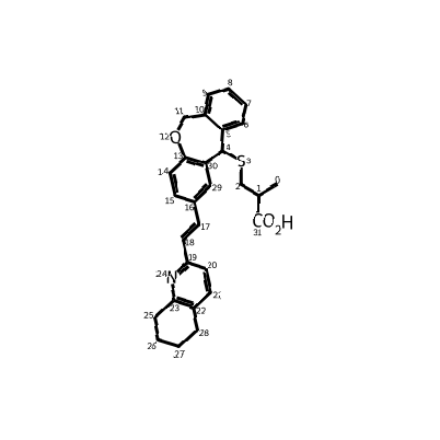 CC(CSC1c2ccccc2COc2ccc(C=Cc3ccc4c(n3)CCCC4)cc21)C(=O)O